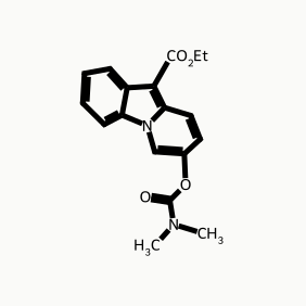 CCOC(=O)c1c2ccccc2n2cc(OC(=O)N(C)C)ccc12